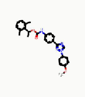 Cc1cccc(C)c1C(C)OC(=O)Nc1ccc(-c2ncn(-c3ccc(OC(F)(F)F)cc3)n2)cc1